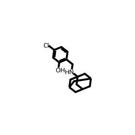 Oc1cc(Cl)ccc1CNC12CC3CC(CC(C3)C1)C2